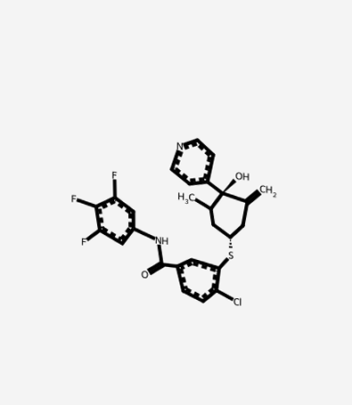 C=C1C[C@H](Sc2cc(C(=O)Nc3cc(F)c(F)c(F)c3)ccc2Cl)CC(C)[C@]1(O)c1ccncc1